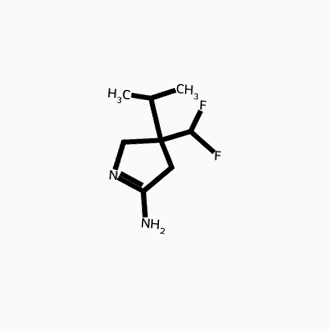 CC(C)C1(C(F)F)CN=C(N)C1